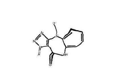 O=C1Nc2ccccc2[S+]([O-])c2nn[nH]c21